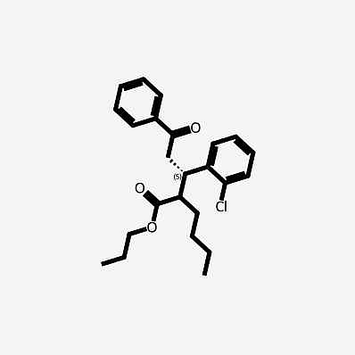 CCCCC(C(=O)OCCC)[C@H](CC(=O)c1ccccc1)c1ccccc1Cl